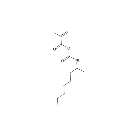 C=C(C)C(=O)OC(=O)NC(C)CCCCCC